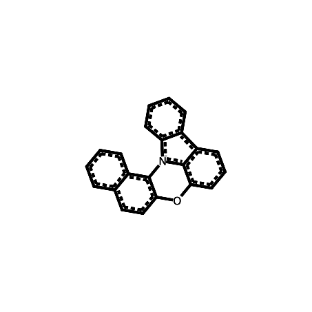 c1ccc2c3c(ccc2c1)Oc1cccc2c4ccccc4n-3c12